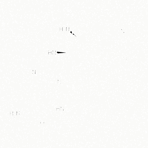 Cc1cccc(Nc2nc(N[C@@H]3CC[C@@H](C(=O)N(C)C)C[C@@H]3N)ncc2C(N)=O)c1